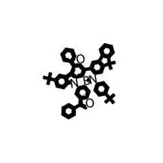 CC(C)(C)c1ccc(N2B3c4cc5occ(-c6ccccc6)c5cc4-n4c5ccc(C(C)(C)C)cc5c5c6c(oc7ccccc76)c(c3c54)-c3cc4c(cc32)C(C)(C)c2ccccc2-4)cc1